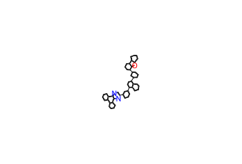 c1cc(-c2cnc3c4ccccc4c4ccccc4c3n2)cc(-c2ccc(-c3cccc(-c4cccc5c4oc4ccccc45)c3)c3ccccc23)c1